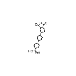 O=C1OC(=O)c2cc(-c3ccc(-c4ccc(B(O)O)cc4)cc3)ccc21